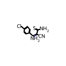 N#C/C(C(N)=S)=C(\N)c1ccc(Cl)cc1